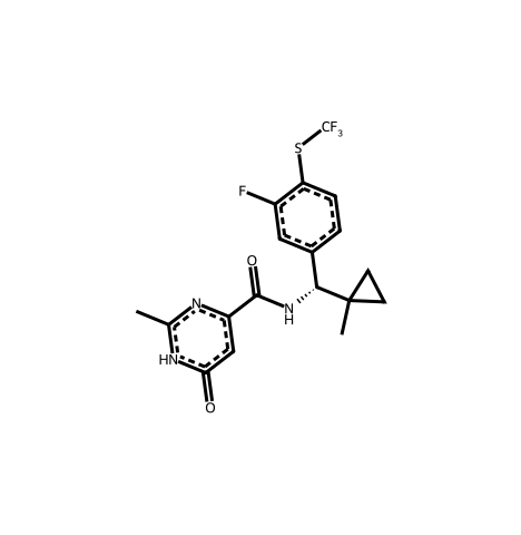 Cc1nc(C(=O)N[C@H](c2ccc(SC(F)(F)F)c(F)c2)C2(C)CC2)cc(=O)[nH]1